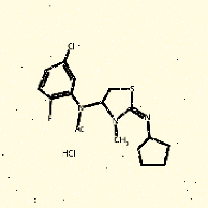 CC(=O)N(c1cc(Cl)ccc1F)C1CSC(=NC2CCCC2)N1C.Cl